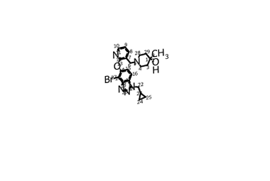 CC1(O)CCN(Cc2cccnc2Oc2ccc3c(nnn3CC3CC3)c2Br)CC1